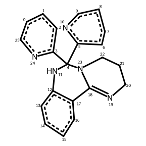 c1ccc(C2(c3ccccn3)Nc3ccccc3C3=NCCCN32)nc1